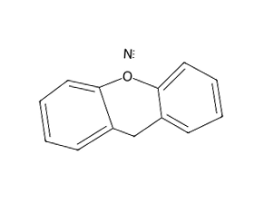 [N].c1ccc2c(c1)Cc1ccccc1O2